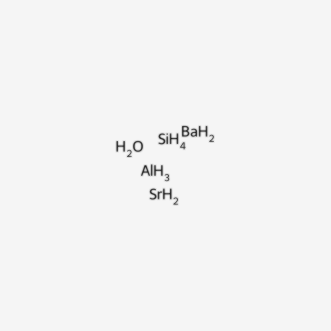 O.[AlH3].[BaH2].[SiH4].[SrH2]